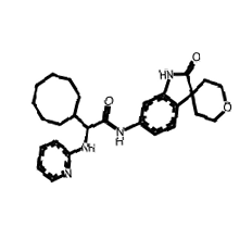 O=C(Nc1ccc2c(c1)NC(=O)C21CCOCC1)C(Nc1ccccn1)C1CCCCCCC1